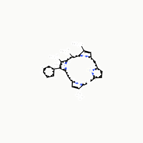 O=C(O)C1=Cc2cc3ccc(cc4nc(cc5c(-c6ccccc6)c(C(=O)O)c(c(C(=O)O)c1n2)n5C(=O)O)C=C4)[nH]3.[Cu].[Fe]